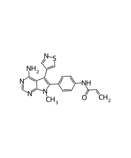 C=CC(=O)Nc1ccc(-c2c(-c3cnsc3)c3c(N)ncnc3n2C)cc1